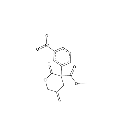 C=C1COC(=O)C(C(=O)OC)(c2cccc([N+](=O)[O-])c2)C1